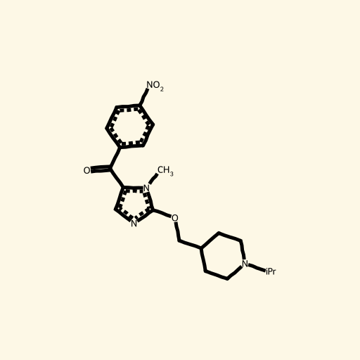 CC(C)N1CCC(COc2ncc(C(=O)c3ccc([N+](=O)[O-])cc3)n2C)CC1